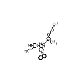 CN1C[C@H](OCCOCCO)C[C@H]1COc1nc2c(c(N3CCNC(CCC#N)C3)n1)CCN(c1cccc3ccccc13)C2